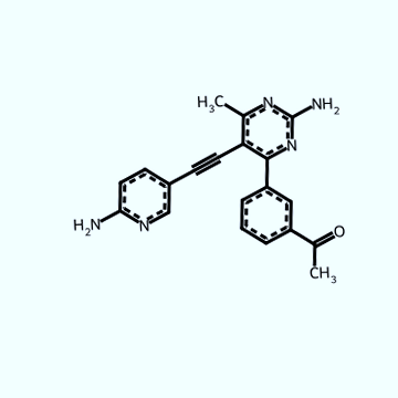 CC(=O)c1cccc(-c2nc(N)nc(C)c2C#Cc2ccc(N)nc2)c1